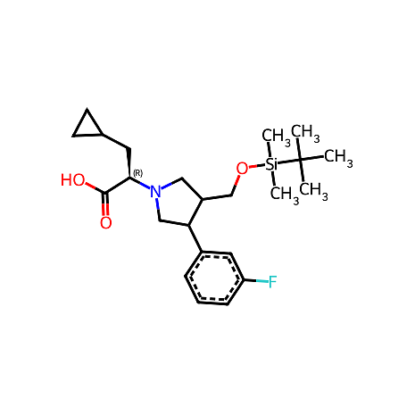 CC(C)(C)[Si](C)(C)OCC1CN([C@H](CC2CC2)C(=O)O)CC1c1cccc(F)c1